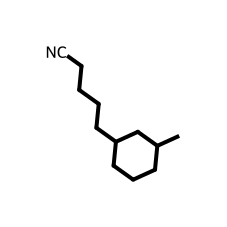 CC1CCCC(CCCCC#N)C1